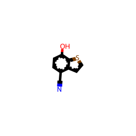 N#Cc1ccc(O)c2sccc12